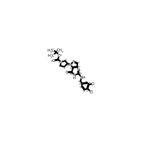 CC(C)(C)OC(=O)N1CCC(n2ncc3nc(NCc4ccc(Cl)c(Cl)c4)[nH]c(=O)c32)C1